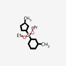 CCCO[Si](OCC)(C1CCCC(C)C1)C1CCC(C)C1